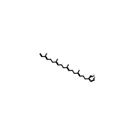 C=C/C(C)=C/CC/C(C)=C/CC/C(C)=C/CC/C(C)=C/CCc1ccsc1